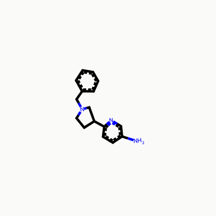 Nc1ccc(C2CCN(Cc3ccccc3)C2)nc1